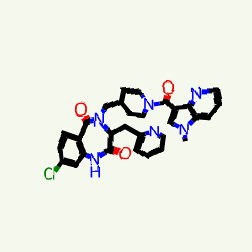 Cn1cc(C(=O)N2CCC(CN3C(=O)c4ccc(Cl)cc4NC(=O)C3Cc3ccccn3)CC2)c2ncccc21